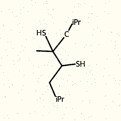 CC(C)CC(S)C(C)(S)CC(C)C